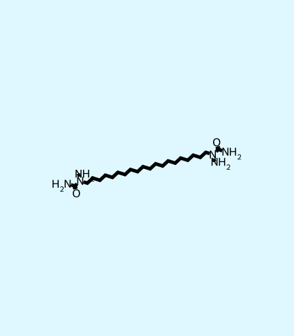 NC(=O)N(N)CCCCCCCCCCCCCCCCCCCCN(N)C(N)=O